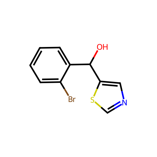 OC(c1cncs1)c1ccccc1Br